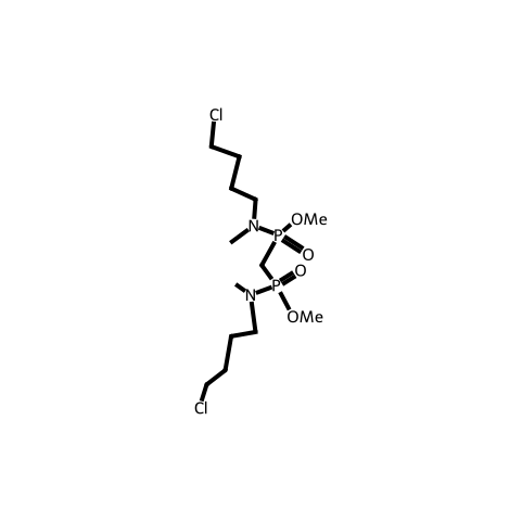 COP(=O)(CP(=O)(OC)N(C)CCCCCl)N(C)CCCCCl